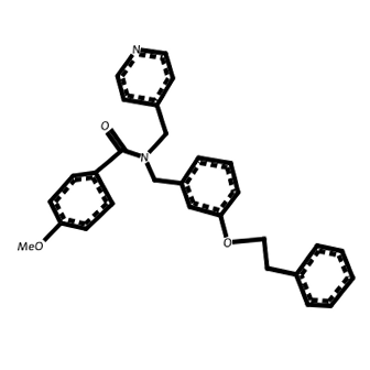 COc1ccc(C(=O)N(Cc2ccncc2)Cc2cccc(OCCc3ccccc3)c2)cc1